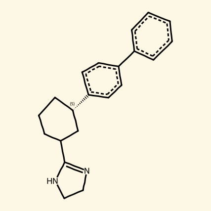 c1ccc(-c2ccc([C@H]3CCCC(C4=NCCN4)C3)cc2)cc1